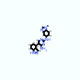 Cn1cnc2cc(Nc3ncc(-c4cccc5[nH]ncc45)c(N)n3)ccc21